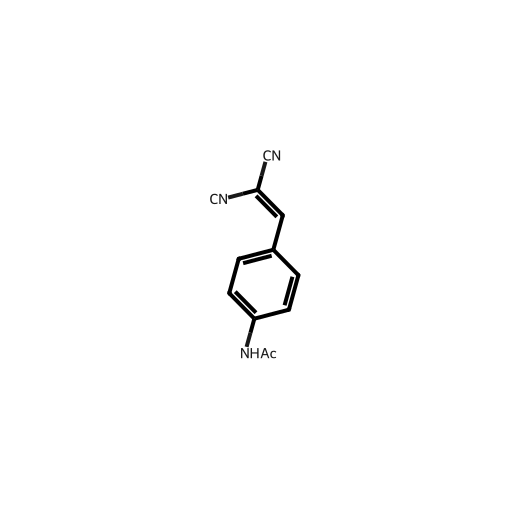 [C-]#[N+]/C(C#N)=C\c1ccc(NC(C)=O)cc1